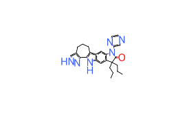 CCCC1(CCC)C(=O)N(c2cnccn2)c2cc3c4c([nH]c3cc21)-c1n[nH]cc1CCC4